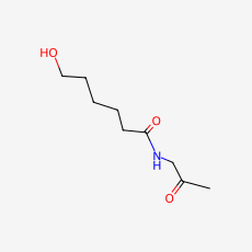 CC(=O)CNC(=O)CCCCCO